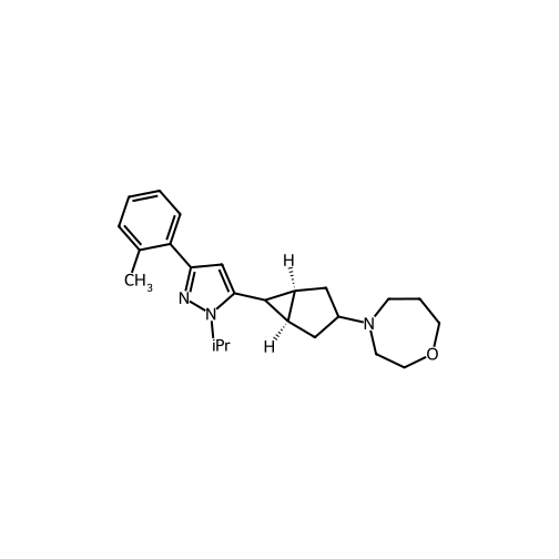 Cc1ccccc1-c1cc(C2[C@H]3CC(N4CCCOCC4)C[C@@H]23)n(C(C)C)n1